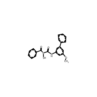 COc1cc(NC(=O)N(S)C(=O)c2ccccc2)cc(-c2ccccc2)c1